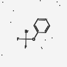 FC(F)(Br)Oc1cc[c]cc1